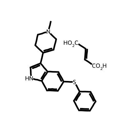 CN1CC=C(c2c[nH]c3ccc(Sc4ccccc4)cc23)CC1.O=C(O)C=CC(=O)O